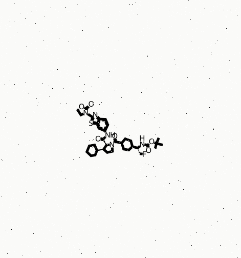 CC(C)(C)OC(=O)N[C@H](CF)C1CCC(C(=O)N2CC[C@@H](C3CCCCC3)[C@H]2C(=O)Nc2ccc3nc(N4CCOC4=O)sc3c2)CC1